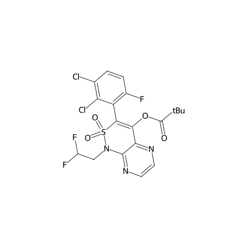 CC(C)(C)C(=O)OC1=C(c2c(F)ccc(Cl)c2Cl)S(=O)(=O)N(CC(F)F)c2nccnc21